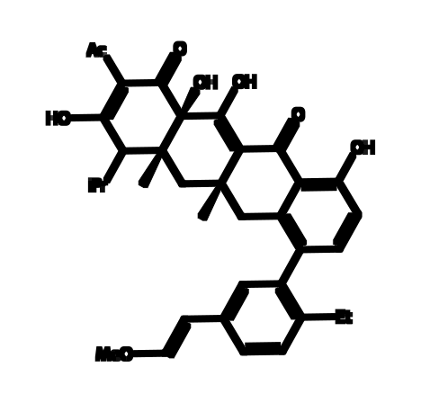 CCc1ccc(/C=C/OC)cc1-c1ccc(O)c2c1C[C@]1(C)C[C@]3(C)C(C(C)C)C(O)=C(C(C)=O)C(=O)[C@]3(O)C(O)=C1C2=O